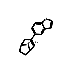 CCOC(=O)N1C2C=C(c3ccc4sccc4c3)CC1CC2